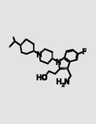 CC(C)C1CCC(N2CCC(n3c(CCO)c(CN)c4cc(F)ccc43)CC2)CC1